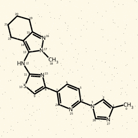 Cc1cn(-c2ccc(-c3csc(Nc4c5c(nn4C)CCCC5)n3)cn2)cn1